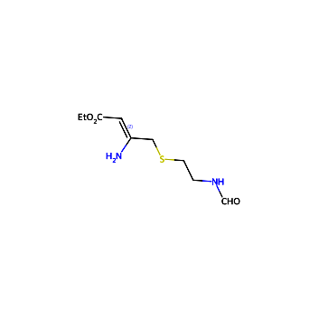 CCOC(=O)/C=C(\N)CSCCNC=O